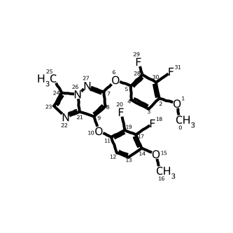 COc1ccc(Oc2cc(Oc3ccc(OC)c(F)c3F)c3ncc(C)n3n2)c(F)c1F